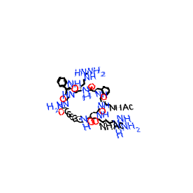 CC(=O)NCCC[C@@H]1NC(=O)[C@@H](NC(=O)[C@H](CCCNC(=N)N)NC(C)=O)CC(=O)NCCCCC[C@@H](C(N)=O)NC(=O)[C@H](Cc2c[nH]c3ccccc23)NC(=O)[C@H](CCCNC(=N)N)NC(=O)[C@@H](Cc2ccccc2)NC1=O